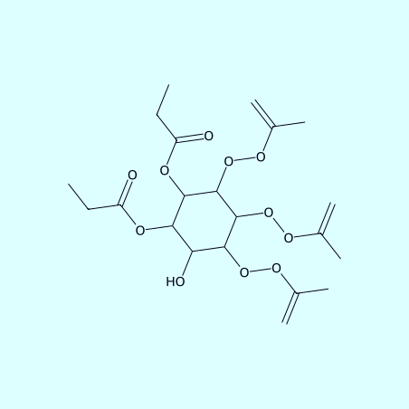 C=C(C)OOC1C(O)C(OC(=O)CC)C(OC(=O)CC)C(OOC(=C)C)C1OOC(=C)C